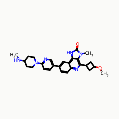 CNC1CCN(c2ccc(-c3ccc4nc(C5CC(OC)C5)c5c([nH]c(=O)n5C)c4c3)cn2)CC1